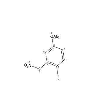 COc1ccc(I)c(S[N+](=O)[O-])c1